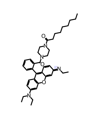 CCCCCCCCC(=O)N1CCN(C(=O)c2ccccc2-c2c3cc/c(=N/CC)cc-3oc3cc(N(CC)CC)ccc23)CC1